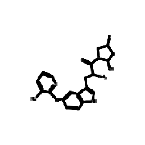 N#Cc1cccnc1Oc1ccc2[nH]cc(CC(N)C(=O)N3CC(F)CC3C#N)c2c1